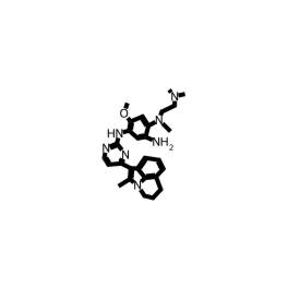 COc1cc(N(C)CCN(C)C)c(N)cc1Nc1nccc(-c2c(C)n3c4c(cccc24)CCC3)n1